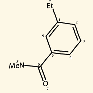 CCc1cccc(C(=O)NC)c1